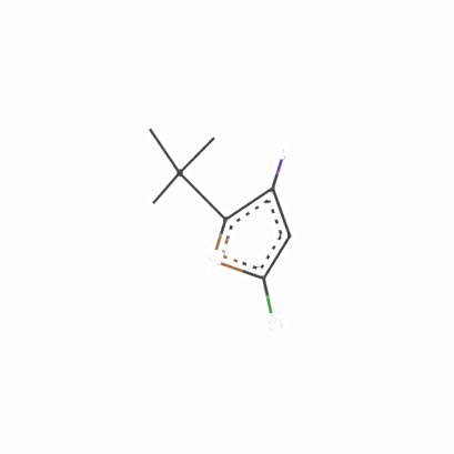 CC(C)(C)c1sc(Br)cc1I